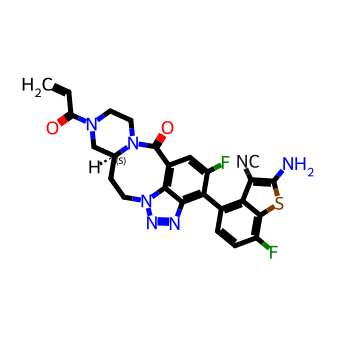 C=CC(=O)N1CCN2C(=O)c3cc(F)c(-c4ccc(F)c5sc(N)c(C#N)c45)c4nnn(c34)CC[C@H]2C1